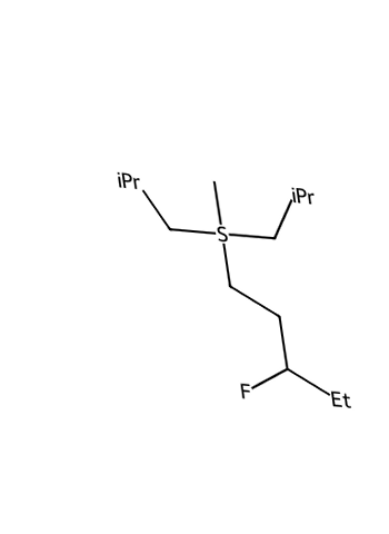 CCC(F)CCS(C)(CC(C)C)CC(C)C